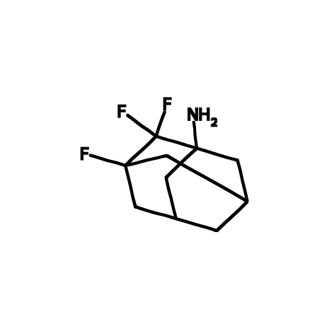 NC12CC3CC(C1)CC(F)(C3)C2(F)F